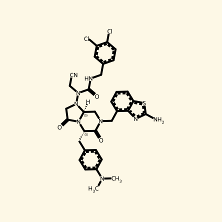 CN(C)c1ccc(C[C@H]2C(=O)N(Cc3cccc4sc(N)nc34)C[C@H]3N2C(=O)CN3N(CC#N)C(=O)NCc2ccc(Cl)c(Cl)c2)cc1